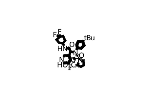 CC(C)(C)c1ccc(N(C(C(=O)NC2CCC(F)(F)CC2)c2cncc(F)c2)S(=O)(=O)N2CCC[C@@H]2C(=O)O)cc1